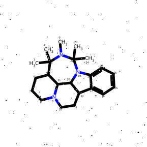 CN1C(C)(C)C2CCCN3CCC4c5ccccc5N(C4C23)C1(C)C